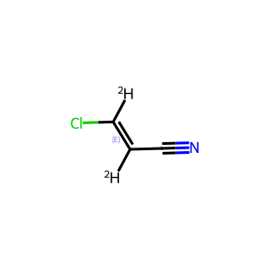 [2H]/C(Cl)=C(/[2H])C#N